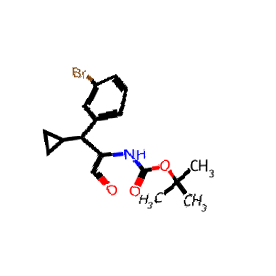 CC(C)(C)OC(=O)NC(C=O)C(c1cccc(Br)c1)C1CC1